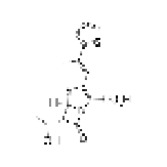 C/C(=C\C1=C(C(=O)O)N2C(=O)[C@H](C(C)O)[C@H]2S1)c1cccs1